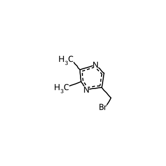 Cc1ncc(CBr)nc1C